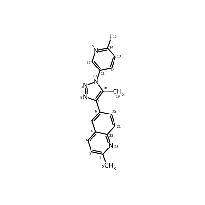 Cc1ccc2cc(-c3nnn(-c4ccc(F)nc4)c3C)ccc2n1